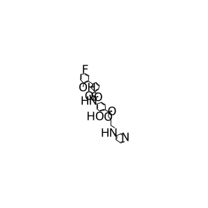 O=C(OCCCNc1cccnc1)c1ccc(NS(=O)(=O)c2cccc(-c3cc(F)ccc3O)c2)cc1O